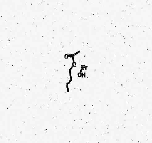 CC(C)O.CCCCOC(C)=O